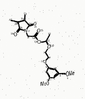 COc1cc(OC)cc(OCCOC(C)OC(=O)CN2C(=O)C(C)C(C)C2=O)c1